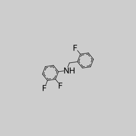 Fc1ccccc1CNc1cccc(F)c1F